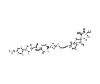 Nc1ccc(C2CCN(C(=O)NC3CCN(C4CN(CCC#Cc5ccc6c(c5)CN(C5CCC(=O)NC5=O)C6=O)C4)CC3)CC2)cc1